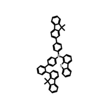 CC1(C)c2ccccc2-c2ccc(-c3ccc(N(c4ccc(-c5ccccc5-c5cccc6c5C(C)(C)c5ccccc5-6)cc4)c4cccc5c4sc4ccccc45)cc3)cc21